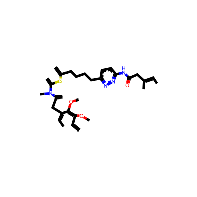 C=C/C(OC)=C(OC)\C(=C/C)CC(=C)N(C)C(=C)SC(=C)CCCCc1ccc(NC(=O)C/C(C)=C/C)nn1